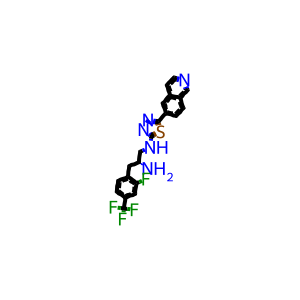 N[C@@H](CNc1nnc(-c2ccc3cnccc3c2)s1)Cc1ccc(C(F)(F)F)cc1F